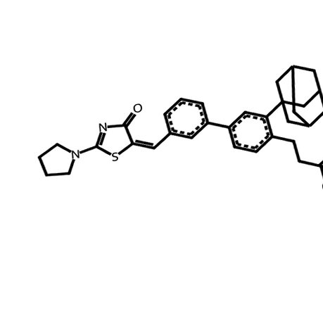 O=C(O)CCc1ccc(-c2cccc(C=C3SC(N4CCCC4)=NC3=O)c2)cc1C12CC3CC(CC(C3)C1)C2